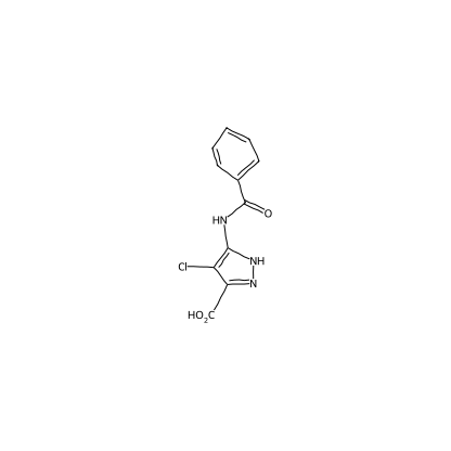 O=C(Nc1[nH]nc(C(=O)O)c1Cl)c1ccccc1